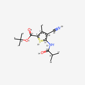 Cc1c(C(=O)OC(C)(C)C)sc(NC(=O)C(C)C)c1C#N